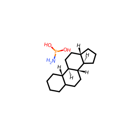 C1CC[C@H]2C(C1)CC[C@H]1[C@@H]3CCC[C@H]3CC[C@@H]12.NP(O)O